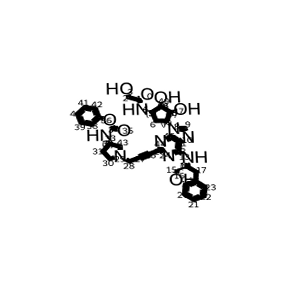 O=C(CO)N[C@H]1C[C@@H](n2cnc3c(N[C@H](CO)Cc4ccccc4)nc(C#CCN4CC[C@@H](NC(=O)Oc5ccccc5)C4)nc32)[C@H](O)[C@@H]1O